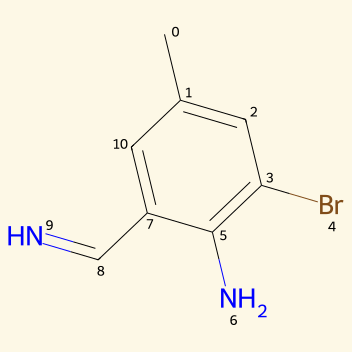 Cc1cc(Br)c(N)c(C=N)c1